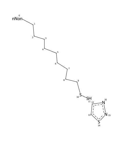 CCCCCCCCCCCCCCCCCCSS.c1csnn1